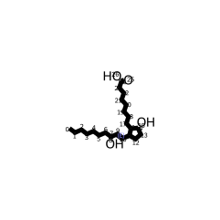 CCCCCCCC(O)/C=C/C1CCC(O)C1CCCCCCCC(=O)O